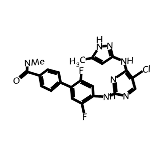 CNC(=O)c1ccc(-c2cc(F)c(Nc3ncc(Cl)c(Nc4cc(C)[nH]n4)n3)cc2F)cc1